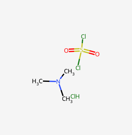 CN(C)C.Cl.O=S(=O)(Cl)Cl